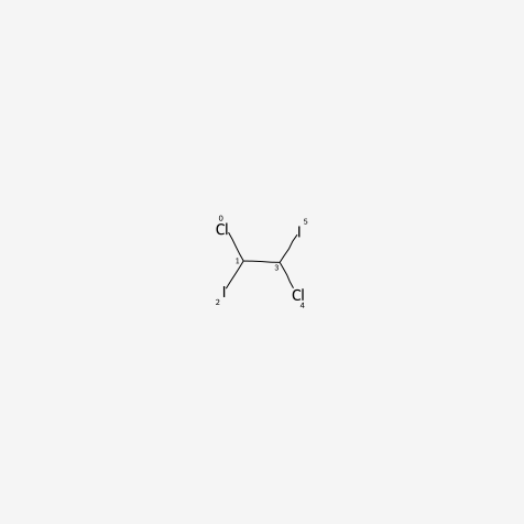 ClC(I)C(Cl)I